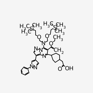 C=C(OCC)c1c(C2CCC(CC(=O)O)CC2)nc2c(-c3cnn(-c4ccccc4)c3)cnn2c1N(COCC[Si](C)(C)C)COCC[Si](C)(C)C